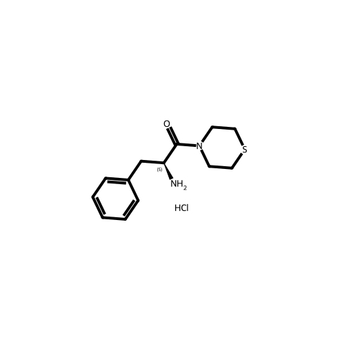 Cl.N[C@@H](Cc1ccccc1)C(=O)N1CCSCC1